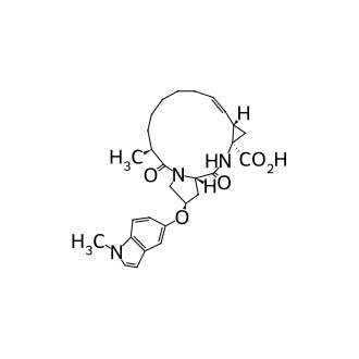 C[C@H]1CCCCC/C=C\[C@@H]2C[C@@]2(C(=O)O)NC(=O)[C@@H]2C[C@@H](Oc3ccc4c(ccn4C)c3)CN2C1=O